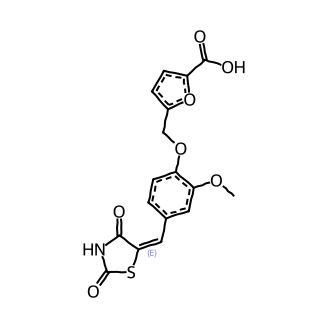 COc1cc(/C=C2/SC(=O)NC2=O)ccc1OCc1ccc(C(=O)O)o1